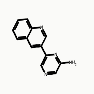 Nc1cncc(-c2cnc3ccccc3c2)n1